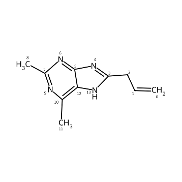 C=CCc1nc2nc(C)nc(C)c2[nH]1